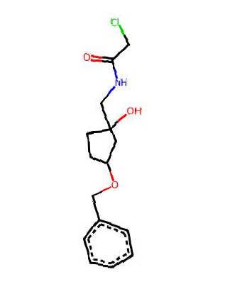 O=C(CCl)NCC1(O)CCC(OCc2ccccc2)C1